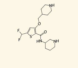 O=C(NC1CCCNC1)c1sc(C(F)F)cc1OCC1CCNCC1